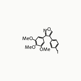 COc1cc(-c2nocc2-c2ccc(I)cc2)cc(OC)c1OC